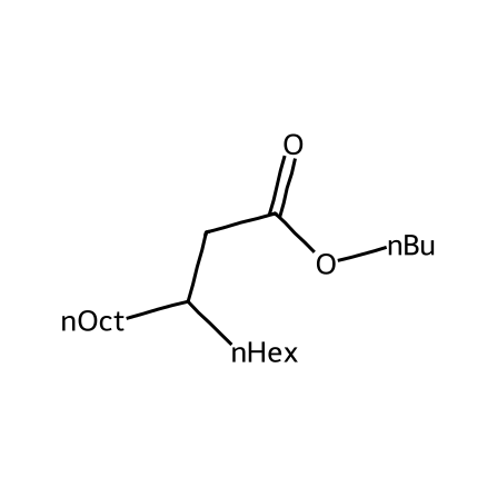 CCCCCCCCC(CCCCCC)CC(=O)OCCCC